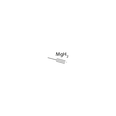 [C]#CC.[MgH2]